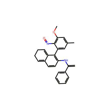 C=C(Nc1ccc2c(c1-c1cc(C)cc(OC)c1N=O)=CCCC=2)c1ccccc1